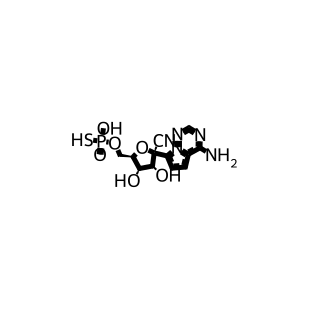 N#C[C@@]1(c2ccc3c(N)ncnn23)O[C@H](COP(=O)(O)S)[C@@H](O)[C@H]1O